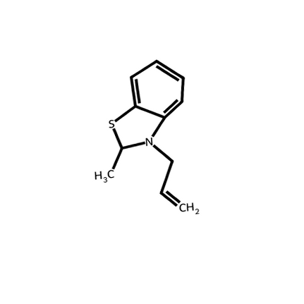 C=CCN1c2ccccc2SC1C